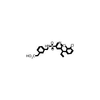 C=CC(c1cncc(S(=O)(=O)NCc2cccc(CC(=O)O)c2)c1)c1cccc(Cl)c1Cl